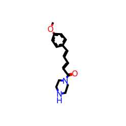 COc1ccc(/C=C/C=C/C(=O)N2CCNCC2)cc1